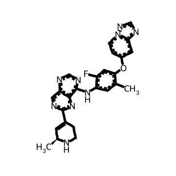 Cc1cc(Nc2ncnc3cnc(C4=C[C@H](C)NCC4)nc23)c(F)cc1Oc1ccn2ncnc2c1